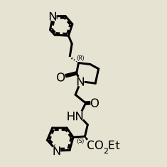 CCOC(=O)[C@H](CNC(=O)CN1CCC[C@@H](CCc2ccncc2)C1=O)c1cccnc1